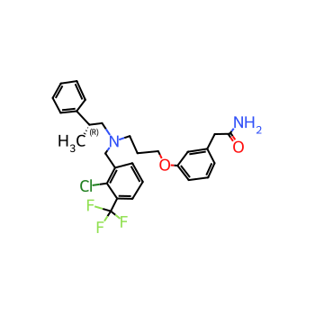 C[C@@H](CN(CCCOc1cccc(CC(N)=O)c1)Cc1cccc(C(F)(F)F)c1Cl)c1ccccc1